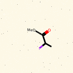 COC(=O)[C](C)I